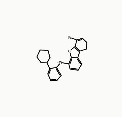 CC(C)C1=CCCc2c1oc1c(Nc3ccccc3C3CCCCC3)cccc21